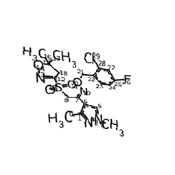 Cc1nn(C)cc1C(CS(=O)(=O)C1=NOC(C)(C)C1)=NOCc1ccc(F)cc1Cl